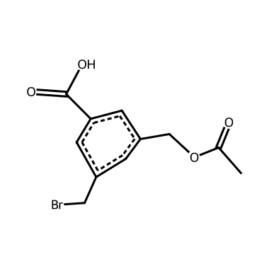 CC(=O)OCc1cc(CBr)cc(C(=O)O)c1